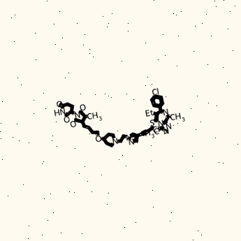 C=C(C#Cc1cnn(CCN2CCC(OCCCCC3C(=O)N(C4CCC(=O)NC4=O)C(=O)C3C)CC2)c1)SC1=C(CC)C(c2ccc(Cl)cc2)=N[C@@H](C)c2nnc(C)n21